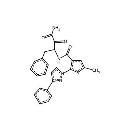 Cc1cc(C(=O)NC(Cc2ccccc2)C(=O)C(N)=O)c(-n2ccc(-c3ccccc3)n2)s1